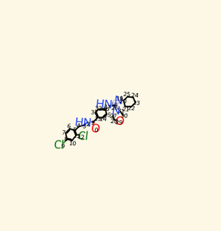 O=C(NCCc1ccc(Cl)cc1Cl)c1ccc(N/C(=N/C2CCCCC2)N2CCOCC2)cc1